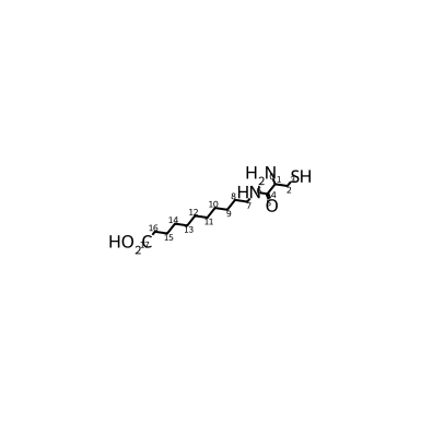 NC(CS)C(=O)NCCCCCCCCCCC(=O)O